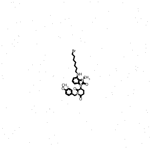 COc1ccc(CN2C(=O)CCC(n3c(=O)n(C)c4c(NCCCCCCCBr)cccc43)C2=O)cc1